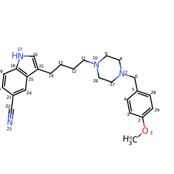 COc1ccc(CN2CCN(CCCCc3c[nH]c4ccc(C#N)cc34)CC2)cc1